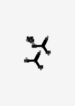 O.O=C(O)O.O=C(O)O.[NaH]